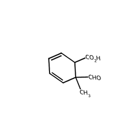 CC1(C=O)C=CC=CC1C(=O)O